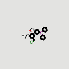 COc1ccc(CCl)cc1C.c1ccc(P(c2ccccc2)c2ccccc2)cc1